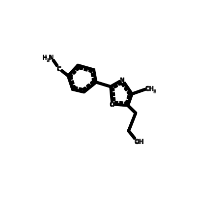 Cc1nc(-c2ccc(CN)cc2)oc1CCO